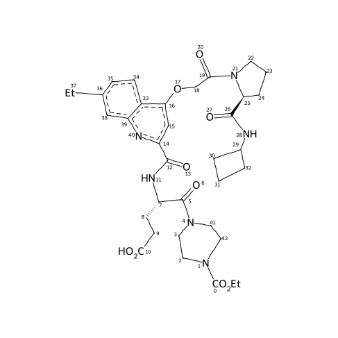 CCOC(=O)N1CCN(C(=O)[C@H](CCC(=O)O)NC(=O)c2cc(OCC(=O)N3CCC[C@H]3C(=O)NC3CCC3)c3ccc(CC)cc3n2)CC1